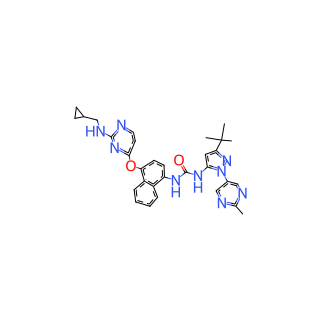 Cc1ncc(-n2nc(C(C)(C)C)cc2NC(=O)Nc2ccc(Oc3ccnc(NCC4CC4)n3)c3ccccc23)cn1